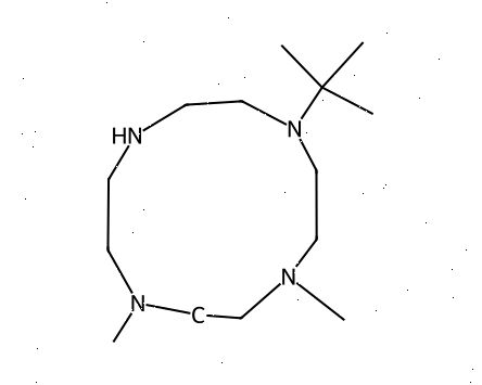 CN1CCNCCN(C(C)(C)C)CCN(C)CC1